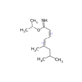 C/C(=C/C=C\C(=N)OC(C)C)CC(C)C